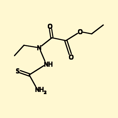 CCOC(=O)C(=O)N(CC)NC(N)=S